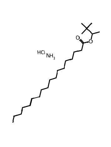 CCCCCCCCCCCCCCCCCC(=O)OC(C)C(C)(C)C.Cl.N